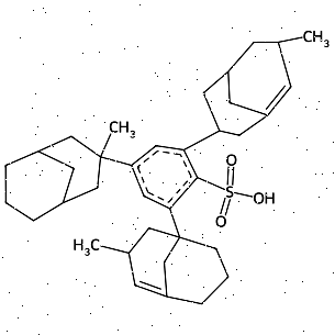 CC1C=C2CC(C1)CC(c1cc(C3(C)CC4CCCC(C4)C3)cc(C34CCCC(=CC(C)C3)C4)c1S(=O)(=O)O)C2